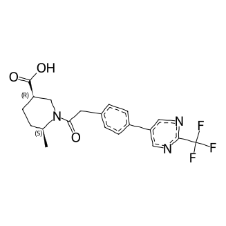 C[C@H]1CC[C@@H](C(=O)O)CN1C(=O)Cc1ccc(-c2cnc(C(F)(F)F)nc2)cc1